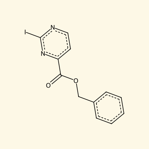 O=C(OCc1ccccc1)c1ccnc(I)n1